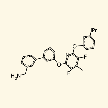 Cc1c(F)c(Oc2cccc(-c3cccc(CN)c3)c2)nc(Oc2cccc(C(C)C)c2)c1F